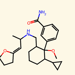 COC1(c2cccc(C(N)=O)c2)C(CNC(C)/C=C2/CCCO2)CCCC1C1CC1